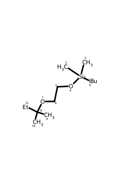 CCC(C)[Si](C)(C)OCCOC(C)(C)CC